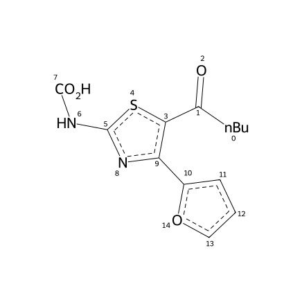 CCCCC(=O)c1sc(NC(=O)O)nc1-c1ccco1